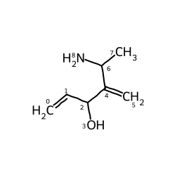 C=CC(O)C(=C)C(C)N